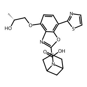 C[C@@H](O)COc1ccc(-c2nccs2)c2oc(N3CC4CC(C3)N4C(=O)O)nc12